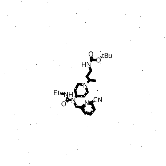 CCNC(=O)N(Cc1cccc(C#N)n1)C1CCN(C(C)CCNC(=O)OC(C)(C)C)CC1